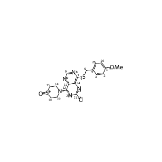 COc1ccc(CSc2ncnc3c(N4CC[S+]([O-])CC4)nc(Cl)nc23)cc1